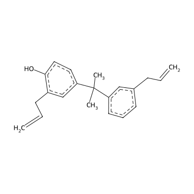 C=CCc1cccc(C(C)(C)c2ccc(O)c(CC=C)c2)c1